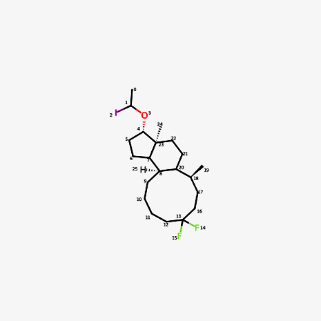 CC(I)O[C@H]1CCC2[C@@H]3CCCCC(F)(F)CC[C@H](C)C3CC[C@@]21C